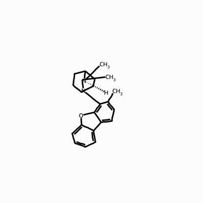 Cc1ccc2c(oc3ccccc32)c1N1C2CCC(CC2)N(C)[C@@H]1C